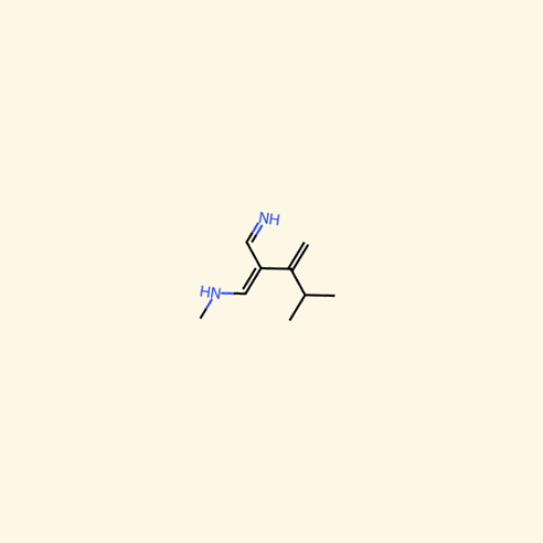 C=C(/C(C=N)=C/NC)C(C)C